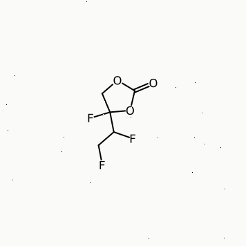 O=C1OCC(F)(C(F)CF)O1